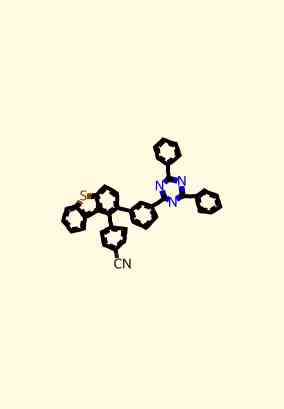 N#Cc1ccc(-c2c(-c3cccc(-c4nc(-c5ccccc5)nc(-c5ccccc5)n4)c3)ccc3sc4ccccc4c23)cc1